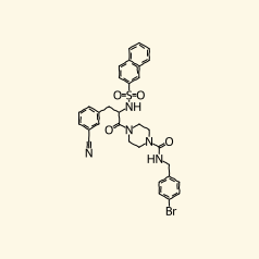 N#Cc1cccc(CC(NS(=O)(=O)c2ccc3ccccc3c2)C(=O)N2CCN(C(=O)NCc3ccc(Br)cc3)CC2)c1